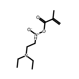 C=C(C)C(=O)O[NH+]([O-])CCN(CC)CC